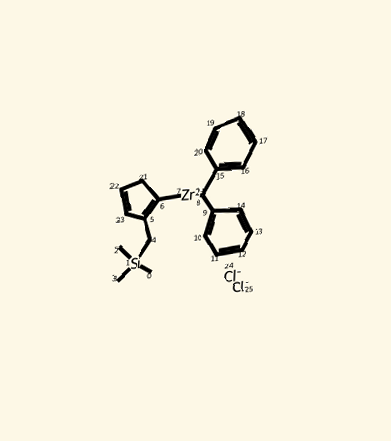 C[Si](C)(C)CC1=[C]([Zr+2][CH](c2ccccc2)c2ccccc2)CC=C1.[Cl-].[Cl-]